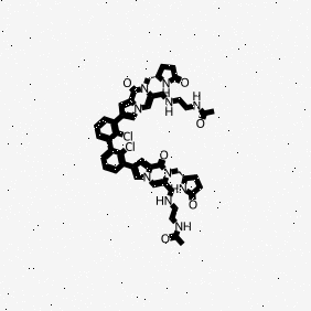 CC(=O)NCCNCc1cn2cc(-c3cccc(-c4cccc(-c5cc6c(=O)n(C[C@@H]7CCC(=O)N7)c(CNCCNC(C)=O)cn6c5)c4Cl)c3Cl)cc2c(=O)n1C[C@@H]1CCC(=O)N1